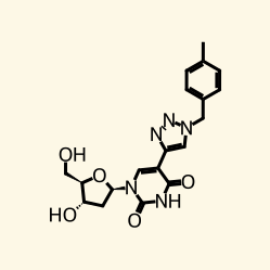 Cc1ccc(Cn2cc(-c3cn([C@H]4C[C@H](O)[C@@H](CO)O4)c(=O)[nH]c3=O)nn2)cc1